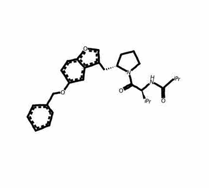 CC(C)C(=O)N[C@H](C(=O)N1CCC[C@H]1Cc1coc2ccc(OCc3ccccc3)cc12)C(C)C